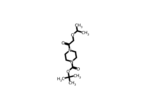 CC(C)OCC(=O)N1CCN(C(=O)OC(C)(C)C)CC1